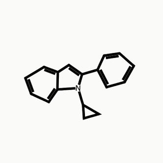 c1ccc(-c2cc3ccccc3n2C2CC2)cc1